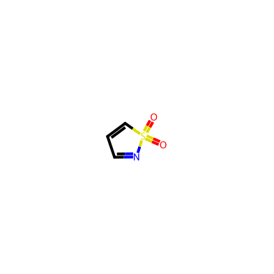 O=S1(=O)C=CC=N1